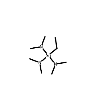 C[CH2][Sn]([N](C)C)([N](C)C)[N](C)C